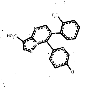 O=C(O)c1cnn2c(-c3ccc(Cl)cc3)c(-c3ccccc3C(F)(F)F)cnc12